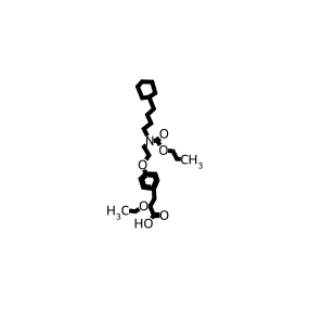 CCCOC(=O)N(CCCCC1CCCCC1)CCOc1ccc(CC(OCC)C(=O)O)cc1